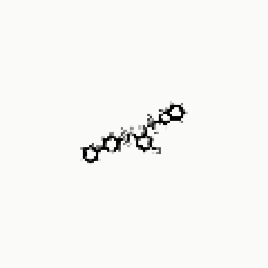 O=S(=O)(Nc1ccc(Cl)cc1NS(=O)(=O)c1cc2ccccc2o1)c1ccc(-c2ccccc2)nc1